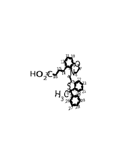 CC(SCCN1CCOc2cccc(CCCC(=O)O)c21)(c1ccccc1)c1ccccc1